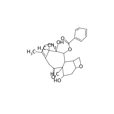 CC1=C2CC(=O)C3(C)C(O)CC4OCC4C3C(OC(=O)c3ccccc3)C(O)(CC1)C2(C)C